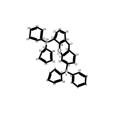 c1ccc(P(c2ccccc2)c2ccc3c(c2)Oc2c(cccc2P(c2ccccc2)c2ccccc2)C3)cc1